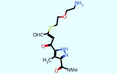 CNC(=O)c1n[nH]c(C(=O)/C=C(\C=O)SCCOCCN)c1C